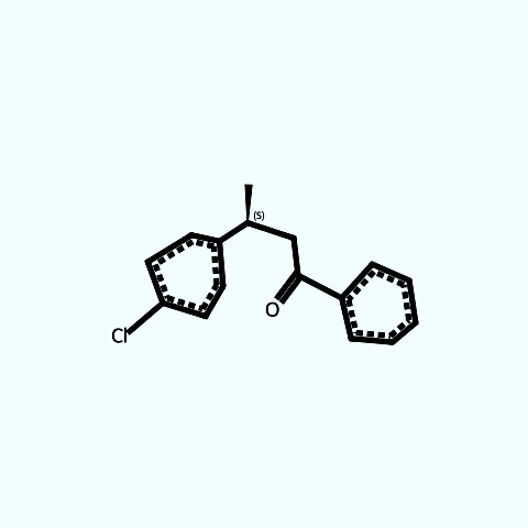 C[C@@H](CC(=O)c1ccccc1)c1ccc(Cl)cc1